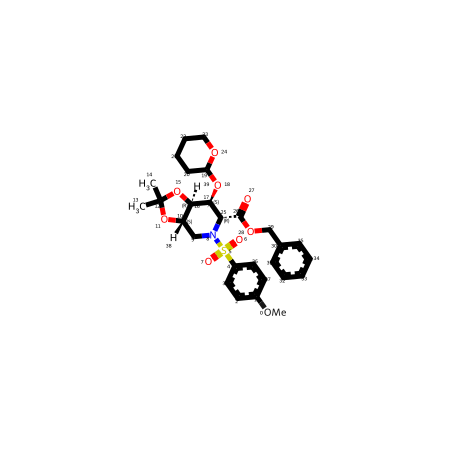 COc1ccc(S(=O)(=O)N2C[C@@H]3OC(C)(C)O[C@H]3[C@@H](OC3CCCCO3)[C@@H]2C(=O)OCc2ccccc2)cc1